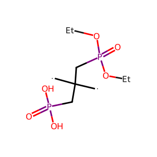 [CH2]C([CH2])(CP(=O)(O)O)CP(=O)(OCC)OCC